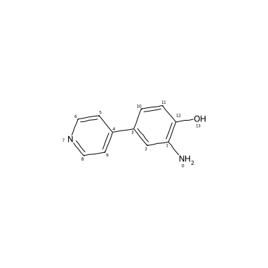 Nc1cc(-c2ccncc2)ccc1O